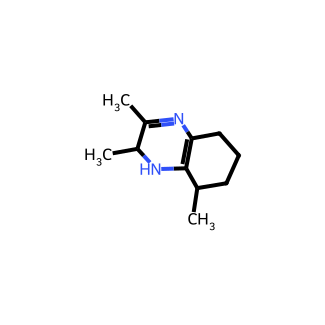 CC1=NC2=C(NC1C)C(C)CCC2